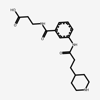 O=C(O)CCNC(=O)c1cccc(NC(=O)CCC2CCNCC2)c1